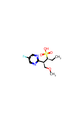 CC[C@@H]([C@@H](COC)c1ncc(F)cn1)S(=O)(=O)O